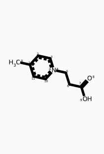 Cc1cc[n+](CCC(=O)O)cc1